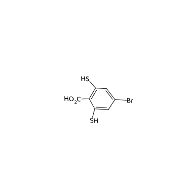 O=C(O)c1c(S)cc(Br)cc1S